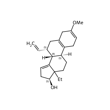 C=C[C@@H]1CC2=C(CC=C(OC)C2)[C@H]2CCC3(CC)C(=CC[C@@H]3O)[C@H]12